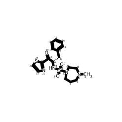 CN1CCCN(S(=O)(=O)N[C@@H](Cc2ccccc2)C(=O)c2n[c]cs2)CC1